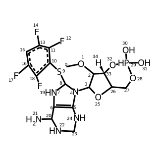 COC1C(N2C3=C(NC2Sc2c(F)c(F)cc(F)c2F)C(N)NCN3)OC2CO[PH](O)(O)O[C@H]21